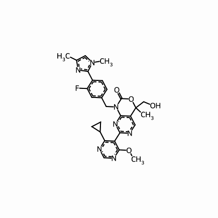 COc1ncnc(C2CC2)c1-c1ncc2c(n1)N(Cc1ccc(-c3nc(C)cn3C)c(F)c1)C(=O)OC2(C)CO